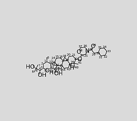 C[C@@H]1C[C@H](C(O)C(C)(C)O)O[C@H]2C1[C@@]1(C)CC[C@@]34CC35CCC(OC3CN(C(=O)CC6CCCCC6)CCO3)C(C)(C)[C@@H]5CC[C@H]4[C@]1(C)[C@H]2O